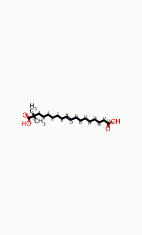 CC(C)(CCCCCC/C=C/CCCCCCCC(=O)O)C(=O)O